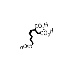 CCCCCCCCCCC/C=C\C(CC(=O)O)C(=O)O